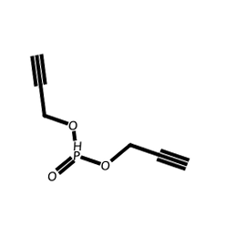 C#CCO[PH](=O)OCC#C